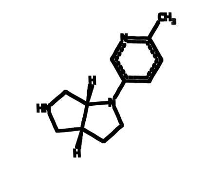 Cc1ccc(N2CC[C@@H]3CNC[C@@H]32)cn1